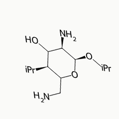 CC(C)O[C@H]1OC(CN)[C@@H](C(C)C)C(O)[C@H]1N